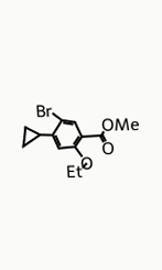 CCOc1cc(C2CC2)c(Br)cc1C(=O)OC